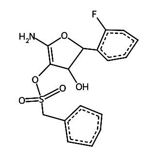 NC1=C(OS(=O)(=O)Cc2ccccc2)C(O)C(c2ccccc2F)O1